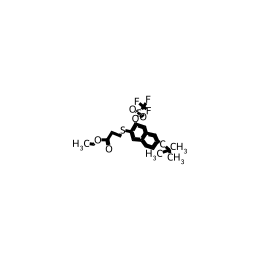 CCOC(=O)CCSc1cc2ccc(CC(C)(C)C)cc2cc1OS(=O)(=O)C(F)(F)F